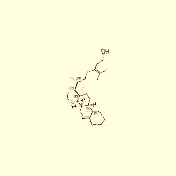 CC(C)=C(CCO)CC[C@@H](C)[C@H]1CC[C@H]2[C@@H]3CC=C4CCCC[C@]4(C)[C@H]3CC[C@]12C